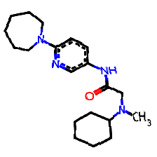 CN(CC(=O)Nc1ccc(N2CCCCCC2)nc1)C1CCCCC1